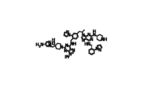 CC(C)n1cnc2c(NCc3ccc(CC(C)n4cnc5c(NCc6ccccc6-n6cccn6)nc(NC6CCNCC6)nc54)cc3-n3cccn3)nc(N3CCC(O)(Cn4cc(N)cn4)CC3)nc21